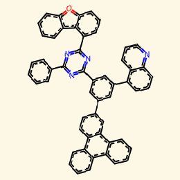 c1ccc(-c2nc(-c3cc(-c4ccc5c6ccccc6c6ccccc6c5c4)cc(-c4cccc5ncccc45)c3)nc(-c3cccc4oc5ccccc5c34)n2)cc1